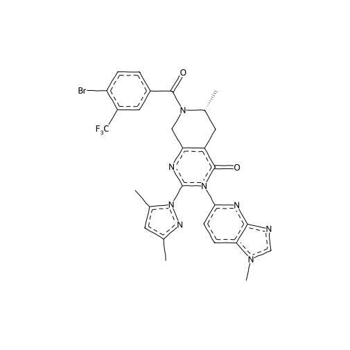 Cc1cc(C)n(-c2nc3c(c(=O)n2-c2ccc4c(ncn4C)n2)C[C@@H](C)N(C(=O)c2ccc(Br)c(C(F)(F)F)c2)C3)n1